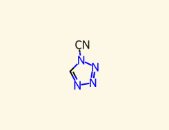 N#Cn1cnnn1